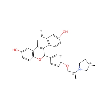 C=Cc1cc(O)ccc1C1=C(C)c2cc(O)ccc2OC1c1ccc(OC[C@H](C)N2CC[C@@H](C)C2)cc1